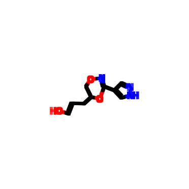 OC=CCC1CON=C(c2cn[nH]c2)O1